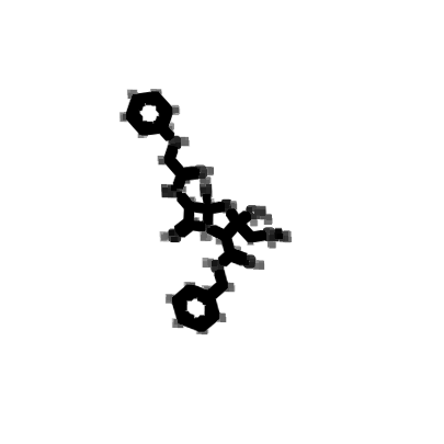 CC(=O)OCC1(C)S[C@H]2C(NC(=O)COc3ccccc3)C(=O)N2C1C(=O)OCc1ccccc1